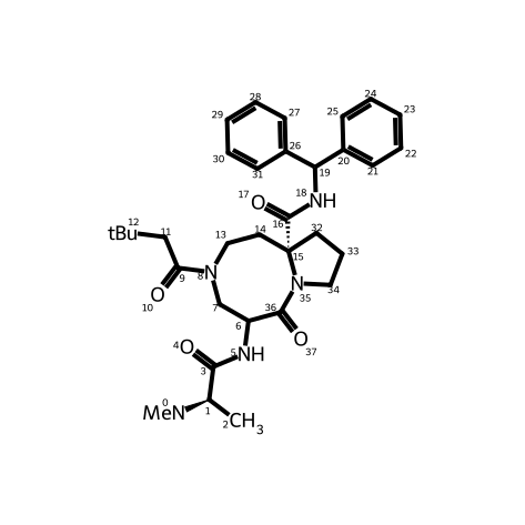 CN[C@H](C)C(=O)NC1CN(C(=O)CC(C)(C)C)CC[C@@]2(C(=O)NC(c3ccccc3)c3ccccc3)CCCN2C1=O